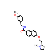 COc1cccc(CNC(=O)c2ccc3cc(OCCC4CCCN4C)ccc3c2)c1